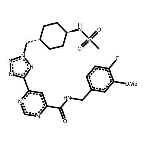 COc1cc(CNC(=O)c2cc(-c3nnn(C[C@H]4CC[C@H](NS(C)(=O)=O)CC4)n3)ncn2)ccc1F